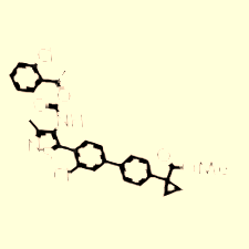 COC(=O)C1(c2ccc(-c3ccc(-c4snc(C)c4NC(=O)O[C@H](C)c4ccccc4Cl)c(Cl)c3)cc2)CC1